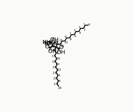 CCCCCCCCCCCCCCC(CCCCCCCCCCCCCC)(C(=O)O)C(C(=O)O)S(=O)(=O)O.N.N